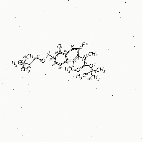 Cc1c(N(C)C(=O)OC(C)(C)C)c(F)cc2c(=O)n(COCC[Si](C)(C)C)ccc12